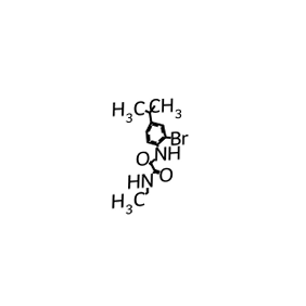 CCNC(=O)C(=O)Nc1ccc(C(C)C)cc1Br